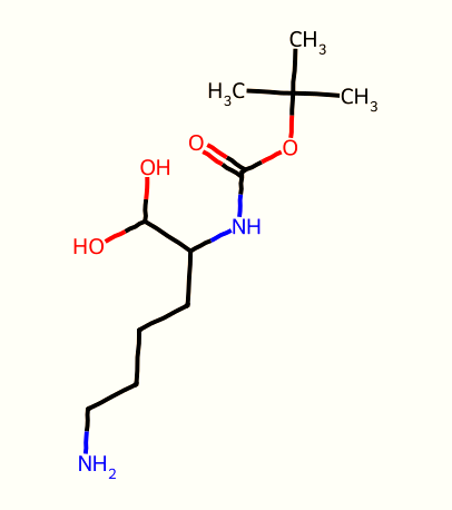 CC(C)(C)OC(=O)NC(CCCCN)C(O)O